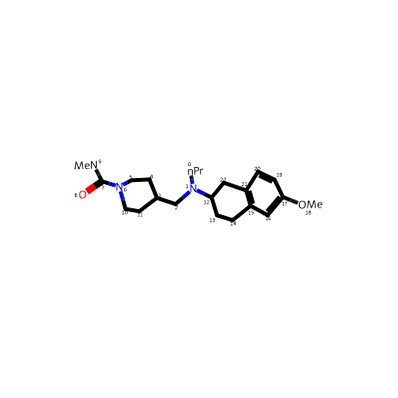 CCCN(CC1CCN(C(=O)NC)CC1)C1CCc2cc(OC)ccc2C1